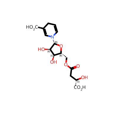 O=C(C[C@H](O)C(=O)O)OC[C@H]1O[C@@H](N2C=CCC(C(=O)O)=C2)[C@H](O)[C@@H]1O